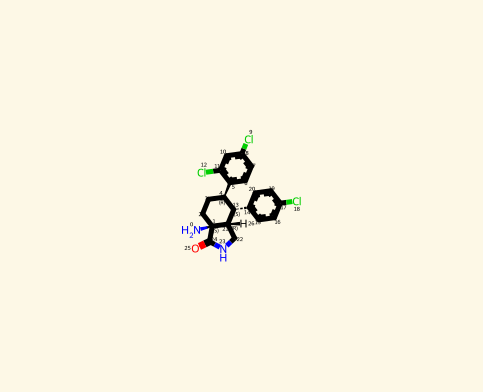 N[C@@]12CC[C@@H](c3ccc(Cl)cc3Cl)[C@H](c3ccc(Cl)cc3)[C@@H]1CNC2=O